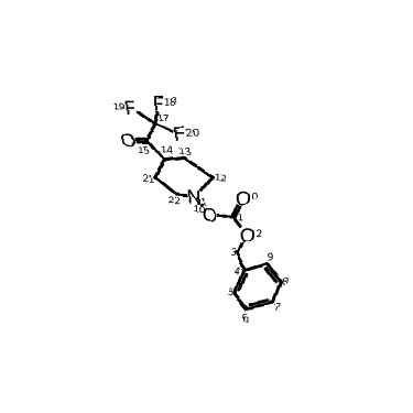 O=C(OCc1ccccc1)ON1CCC(C(=O)C(F)(F)F)CC1